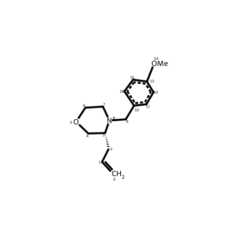 C=CC[C@@H]1COCCN1Cc1ccc(OC)cc1